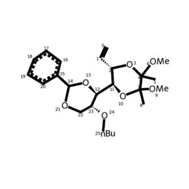 C=C[C@@H]1OC(C)(OC)C(C)(OC)O[C@H]1[C@@H]1OC(c2ccccc2)OC[C@H]1OCCCC